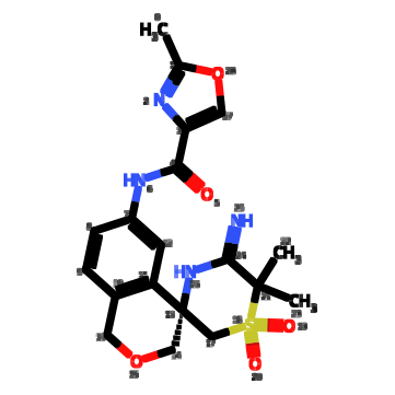 Cc1nc(C(=O)Nc2ccc3c(c2)[C@]2(COC3)CS(=O)(=O)C(C)(C)C(=N)N2)co1